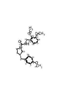 COc1ccc(CC2CCN(C(=O)NCc3cccc(OC)c3OC)C2)cc1